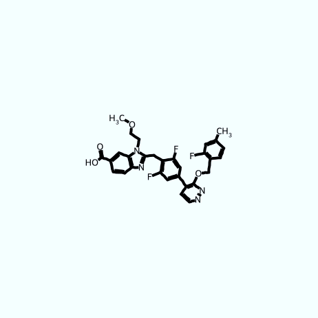 COCCn1c(Cc2c(F)cc(-c3ccnnc3OCc3ccc(C)cc3F)cc2F)nc2ccc(C(=O)O)cc21